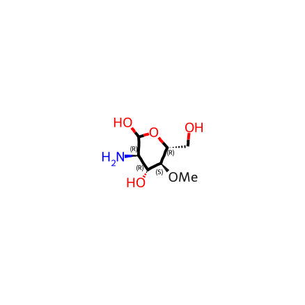 CO[C@H]1[C@H](O)[C@@H](N)C(O)O[C@@H]1CO